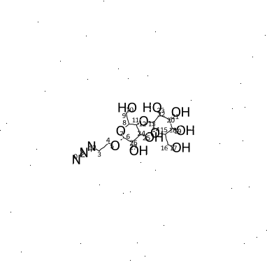 [N-]=[N+]=NCCO[C@@H]1OC(CO)[C@@H](O[C@@H]2OC(CO)[C@H](O)C(O)[C@@H]2O)C(O)[C@@H]1O